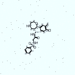 O=C(CNS(=O)(=O)c1ccccc1)NC[C@@H]1CNCCO[C@H]1c1ccc(Cl)c(F)c1